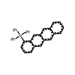 CC(C)[Si](c1cccc2cc3cc4ccccc4cc3cc12)(C(C)C)C(C)C